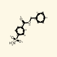 NS(=O)(=O)c1ccc(C(=O)OCc2ccccc2)cc1